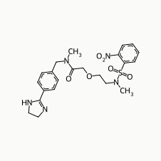 CN(Cc1ccc(C2=NCCN2)cc1)C(=O)COCCN(C)S(=O)(=O)c1ccccc1[N+](=O)[O-]